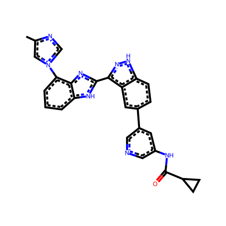 Cc1cn(-c2cccc3[nH]c(-c4n[nH]c5ccc(-c6cncc(NC(=O)C7CC7)c6)cc45)nc23)cn1